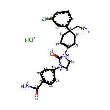 Cl.NC[C@]1(c2cccc(Cl)c2)CC[C@H](N2CCN(c3ccc(C(N)=O)cc3)C2=O)CC1